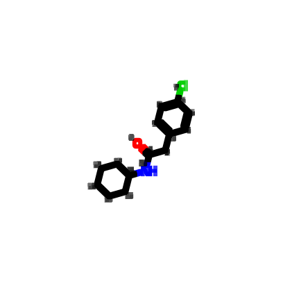 O=C(Cc1ccc(Cl)cc1)NC1CCCCC1